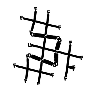 [Li][C](S(=O)(=O)C(F)(F)C(F)(F)F)(S(=O)(=O)C(F)(F)C(F)(F)F)S(=O)(=O)C(F)(F)C(F)(F)F